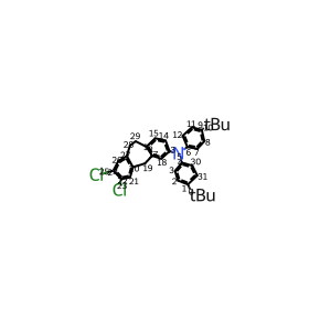 CC(C)(C)c1ccc(N(c2ccc(C(C)(C)C)cc2)c2ccc3c(c2)Cc2cc(Cl)c(Cl)cc2CC3)cc1